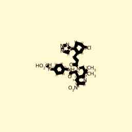 CC1(C)CN(C(=O)/C=C/c2cc(Cl)ccc2-n2cnnn2)C(C(=O)Nc2ccc(NC(=O)O)cc2)c2cc([N+](=O)[O-])cnc21